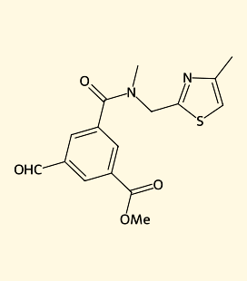 COC(=O)c1cc(C=O)cc(C(=O)N(C)Cc2nc(C)cs2)c1